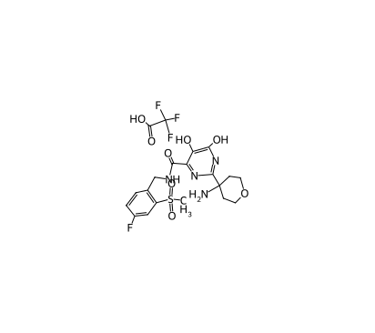 CS(=O)(=O)c1cc(F)ccc1CNC(=O)c1nc(C2(N)CCOCC2)nc(O)c1O.O=C(O)C(F)(F)F